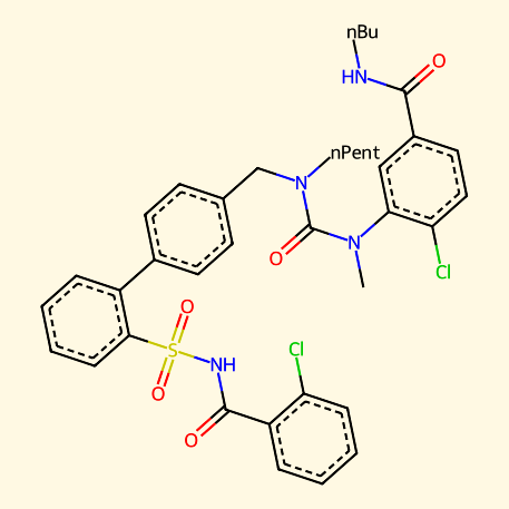 CCCCCN(Cc1ccc(-c2ccccc2S(=O)(=O)NC(=O)c2ccccc2Cl)cc1)C(=O)N(C)c1cc(C(=O)NCCCC)ccc1Cl